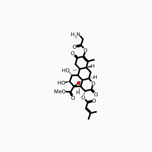 COC(=O)C12OC[C@]34C([C@@H](O)[C@@H]1O)[C@@]1(C)CC(=O)C(OC(=O)CN)=C(C)[C@@H]1C[C@H]3OC(=O)[C@H](OC(=O)C=C(C)C)[C@@H]24